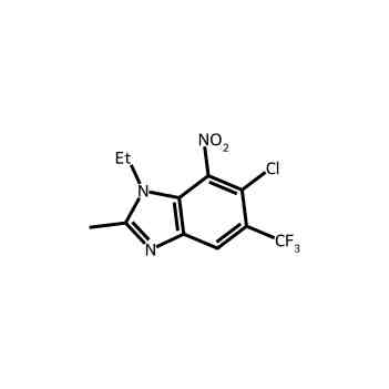 CCn1c(C)nc2cc(C(F)(F)F)c(Cl)c([N+](=O)[O-])c21